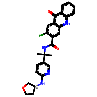 CC(C)(NC(=O)c1cc2[nH]c3ccccc3c(=O)c2cc1F)c1ccc(N[C@@H]2CCOC2)nc1